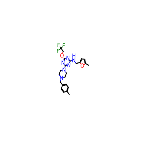 Cc1ccc(CN2CCN(c3nc(NCc4ccc(C)o4)nc(OCC(F)(F)F)n3)CC2)cc1